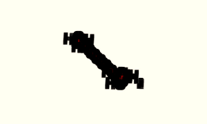 C=Nc1c(/C(N)=N\C)ncn1[C@@]1(OCC(=O)NCCOCCOCCOCCOCCOCCOCCOCCOCCOCCOCCNC(=O)CCCC[C@@H]2SC[C@@H]3NC(=O)N[C@@H]32)CO[C@H](CO)C1